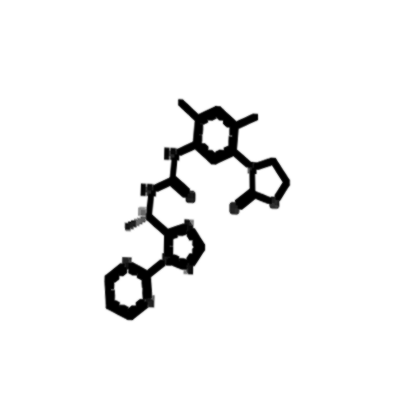 Cc1cc(C)c(N2CCOC2=O)cc1NC(=O)N[C@@H](C)c1ncnn1-c1ncccn1